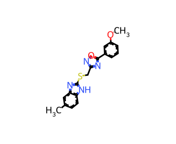 COc1cccc(-c2nc(CSc3nc4cc(C)ccc4[nH]3)no2)c1